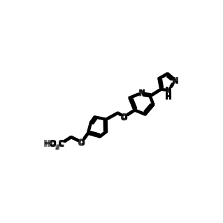 O=C(O)COc1ccc(COc2ccc(-c3ccn[nH]3)nc2)cc1